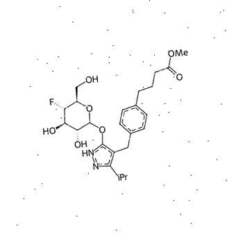 COC(=O)CCCc1ccc(Cc2c(C(C)C)n[nH]c2OC2O[C@H](CO)[C@@H](F)[C@H](O)[C@H]2O)cc1